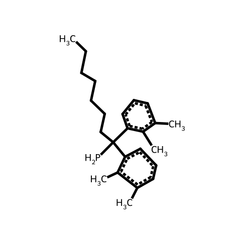 CCCCCCCC(P)(c1cccc(C)c1C)c1cccc(C)c1C